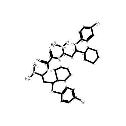 CN(C)C(CC(Oc1ccc(C(F)(F)F)cc1)C1CCCCC1)OC(=O)C(=O)OC(CC(Oc1ccc(C(F)(F)F)cc1)C1CCCCC1)N(C)C